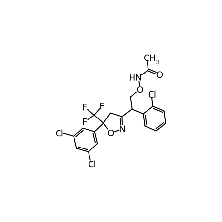 CC(=O)NOCC(C1=NOC(c2cc(Cl)cc(Cl)c2)(C(F)(F)F)C1)c1ccccc1Cl